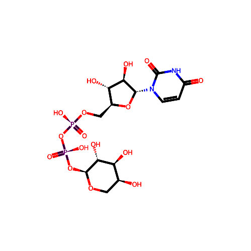 O=c1ccn([C@@H]2O[C@@H](CO[P@@](=O)(O)O[P@](=O)(O)O[C@@H]3OC[C@H](O)[C@H](O)[C@H]3O)[C@H](O)[C@H]2O)c(=O)[nH]1